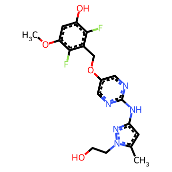 COc1cc(O)c(F)c(COc2cnc(Nc3cc(C)n(CCO)n3)nc2)c1F